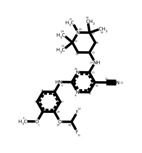 COc1ccc(Nc2ncc(C#N)c(NC3CC(C)(C)N(C)C(C)(C)C3)n2)cc1OC(F)F